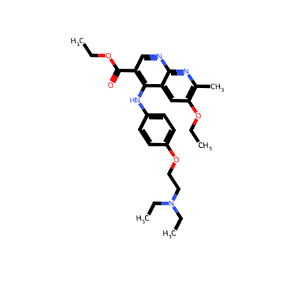 CCOC(=O)c1cnc2nc(C)c(OCC)cc2c1Nc1ccc(OCCN(CC)CC)cc1